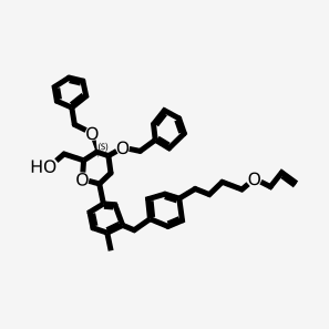 C=CCOCCCCc1ccc(Cc2cc(C3CC(OCc4ccccc4)[C@H](OCc4ccccc4)C(CO)O3)ccc2C)cc1